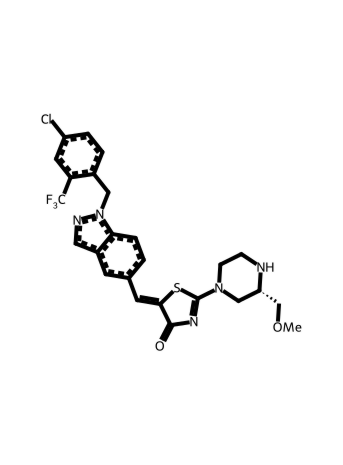 COC[C@@H]1CN(C2=NC(=O)/C(=C/c3ccc4c(cnn4Cc4ccc(Cl)cc4C(F)(F)F)c3)S2)CCN1